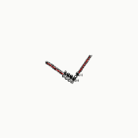 N=[N+](O[O])C1CCCCC1.N=[N+](O[O])C1CCCCC1.N=[N+](O[O])C1CCCCC1.N=[N+](O[O])C1CCCCC1.N=[N+](O[O])C1CCCCC1.[K+].[K+].[K+].[K+].[K+].[K+].[K+].[K+].[K+].[K+].[K+].[K+].[K+].[K+].[K+].[K+].[K+].[K+].[K+].[K+].[K+].[K+].[K+].[K+].[K+].[K+].[K+].[K+].[K+].[K+].[K+].[K+].[K+].[K+].[K+].[K+].[K+].[K+].[K+].[K+].[K+].[K+].[K+].[K+].[K+].[K+].[K+].[K+].[K+].[K+]